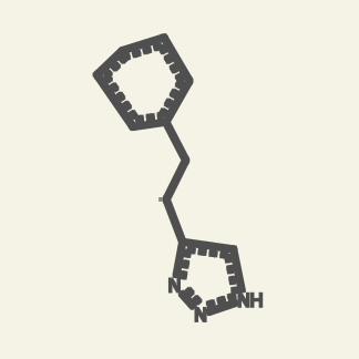 [CH](Cc1ccccc1)c1c[nH]nn1